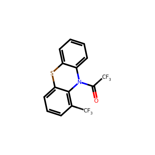 O=C(N1c2ccccc2Sc2cccc(C(F)(F)F)c21)C(F)(F)F